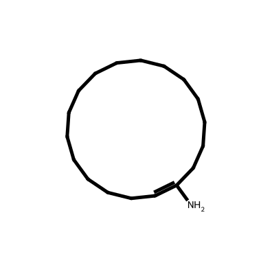 NC1=CCCCCCCCCCCCCCCCC1